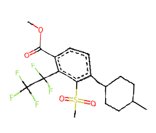 COC(=O)c1ccc(C2CCC(C)CC2)c(S(C)(=O)=O)c1C(F)(F)C(F)(F)F